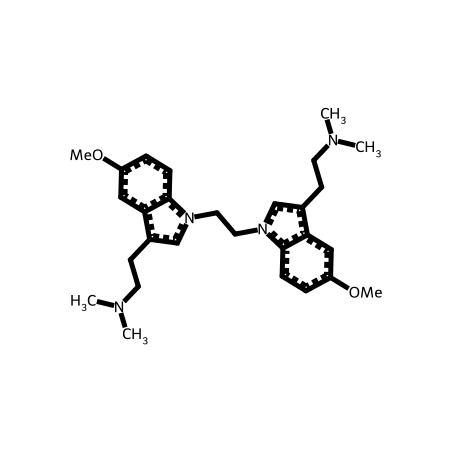 COc1ccc2c(c1)c(CCN(C)C)cn2CCn1cc(CCN(C)C)c2cc(OC)ccc21